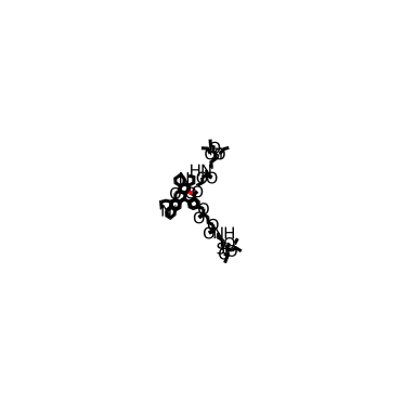 CCO[Si](CCCNC(=O)OCCOC(=O)c1cc(OC(=O)CCOC(=O)NCCC[Si](OCC)(OCC)OCC)ccc1C1=c2cc3c4c(c2Oc2c1cc1c5c2CCCN5CCC1)CCC[N+]=4CCC3)(OCC)OCC